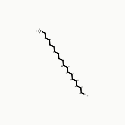 CCCCCCCCCCCCCCCCCCCF